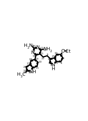 CCOc1ccc2[nH]cc(CCc3c(N)nc(N)nc3-c3ccc4[nH]c(C)cc4c3)c2c1